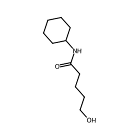 O=C(CCCCO)NC1CCCCC1